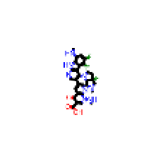 CNc1cc(F)c(F)c2c1[nH]c1ncc(-c3cnc4c(c3)c(=O)c(C(=O)O)cn4NC)c(N3CCC4(F)CN(C)CC34)c12